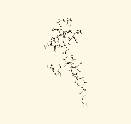 C=C(C)C(=O)OCc1cc(OCC(COC(=O)C(=C)C)(COC(=O)C(C)C(=O)OCC)COC(=O)C(C)C(=O)OCC)ccc1-c1ccc(C2CCC(CCCCC)CC2)cc1F